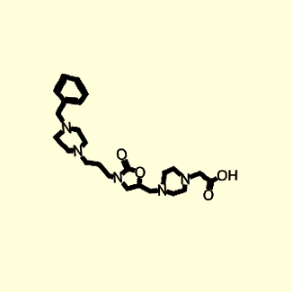 O=C(O)CN1CCN(CC2CN(CCCN3CCN(Cc4ccccc4)CC3)C(=O)O2)CC1